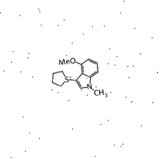 COc1cccc2c1c([S+]1CCCC1)cn2C